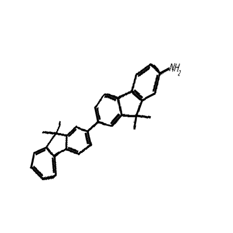 CC1(C)c2ccccc2-c2ccc(-c3ccc4c(c3)C(C)(C)c3cc(N)ccc3-4)cc21